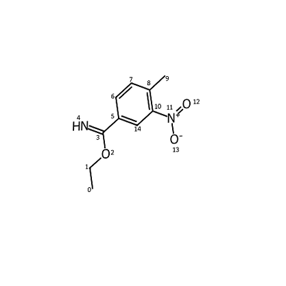 CCOC(=N)c1ccc(C)c([N+](=O)[O-])c1